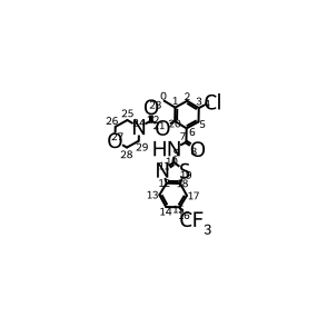 Cc1cc(Cl)cc(C(=O)Nc2nc3ccc(C(F)(F)F)cc3s2)c1OC(=O)N1CCOCC1